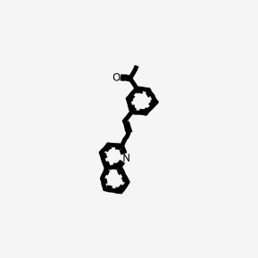 CC(=O)c1cccc(/C=C/c2ccc3ccccc3n2)c1